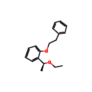 [CH2][C@H](OCC)c1ccccc1OCCc1ccccc1